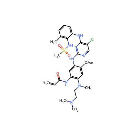 C=CC(=O)Nc1cc(Nc2ncc(Cl)c(Nc3cccc(C)c3NS(C)(=O)=O)n2)c(OC)cc1N(C)CCN(C)C